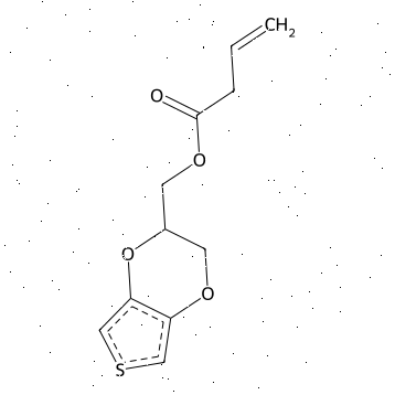 C=CCC(=O)OCC1COc2cscc2O1